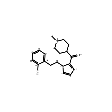 CN1CCC(C(=O)c2nccn2CCc2ccccc2Cl)CC1